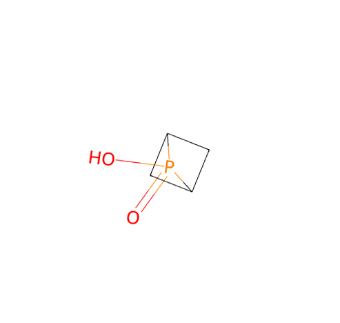 O=P1(O)C2CC1C2